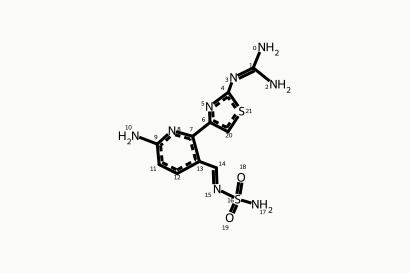 NC(N)=Nc1nc(-c2nc(N)ccc2/C=N/S(N)(=O)=O)cs1